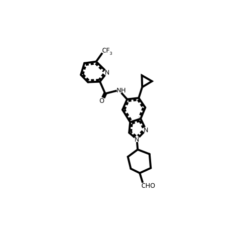 O=CC1CCC(n2cc3cc(NC(=O)c4cccc(C(F)(F)F)n4)c(C4CC4)cc3n2)CC1